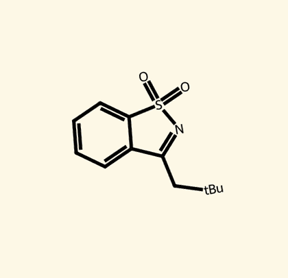 CC(C)(C)CC1=NS(=O)(=O)c2ccccc21